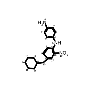 Nc1ccc(Nc2ccc(CC3CCCCC3)cc2[N+](=O)[O-])cc1